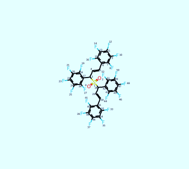 O=S(=O)(C(C=Cc1c(F)c(F)c(F)c(F)c1F)c1c(F)c(F)c(F)c(F)c1F)C(C=Cc1c(F)c(F)c(F)c(F)c1F)c1c(F)c(F)c(F)c(F)c1F